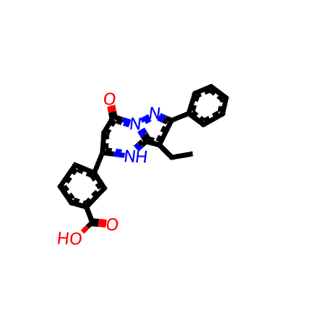 CCc1c(-c2ccccc2)nn2c(=O)cc(-c3cccc(C(=O)O)c3)[nH]c12